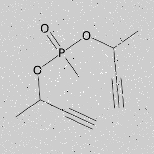 C#CC(C)OP(C)(=O)OC(C)C#C